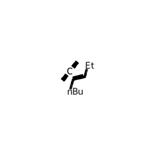 C=C=C.CCC=CCCCC